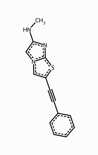 CNc1cn2cc(C#Cc3ccccc3)sc2n1